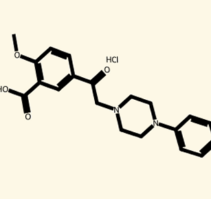 COc1ccc(C(=O)CN2CCN(c3ccccc3)CC2)cc1C(=O)O.Cl